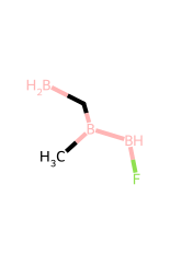 BCB(C)BF